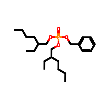 CCCCC(CC)COP(=O)(OCc1ccccc1)OCC(CC)CCCC